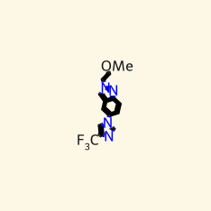 COCCn1cc2cc(-n3cnc(C(F)(F)F)c3)ccc2n1